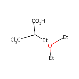 CCC(C(=O)O)C(Cl)(Cl)Cl.CCOCC